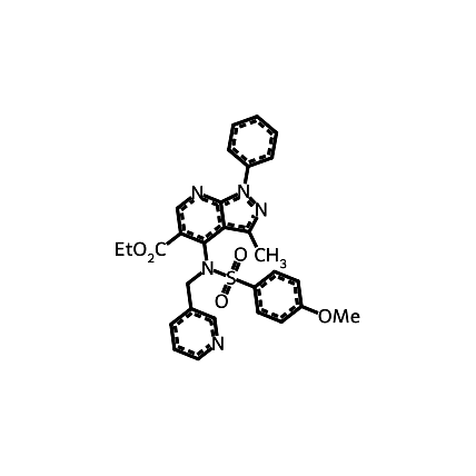 CCOC(=O)c1cnc2c(c(C)nn2-c2ccccc2)c1N(Cc1cccnc1)S(=O)(=O)c1ccc(OC)cc1